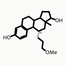 COCCC[C@H]1CC2(C)C(O)CCC2C2CCc3cc(O)ccc3C21